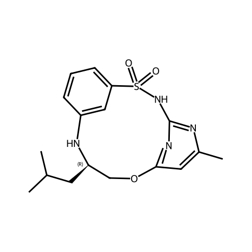 Cc1cc2nc(n1)NS(=O)(=O)c1cccc(c1)N[C@H](CC(C)C)CO2